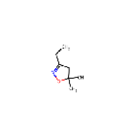 [CH2]CC1=NOC(C)(C)C1